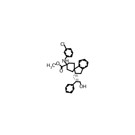 COC(=O)C1(Nc2cccc(Cl)c2)CCC2(CC1)c1ccccc1C[C@@H]2C[C@H](CO)c1ccccc1